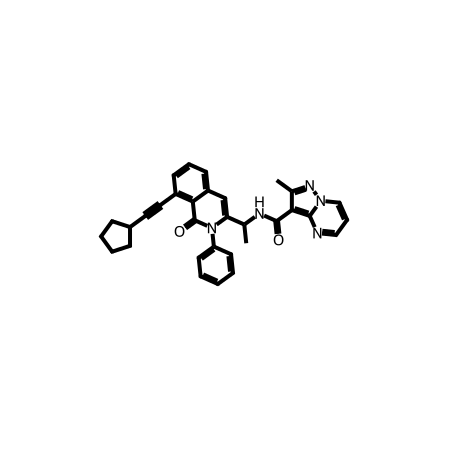 Cc1nn2cccnc2c1C(=O)NC(C)c1cc2cccc(C#CC3CCCC3)c2c(=O)n1-c1ccccc1